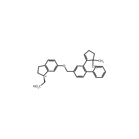 CC1(C)CCC=C1c1cc(COc2ccc3c(c2)[C@@H](CC(=O)O)CC3)ccc1-c1ccccc1